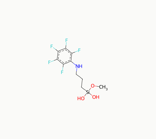 CO[Si](O)(O)CCCNc1c(F)c(F)c(F)c(F)c1F